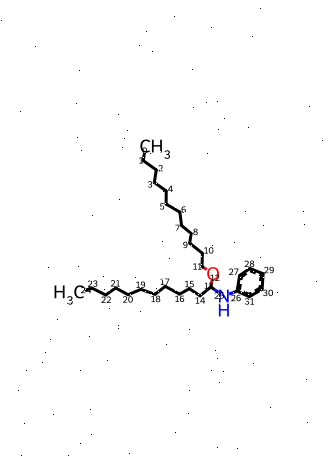 CCCCCCCCCCCCOC(CCCCCCCCCCC)Nc1ccccc1